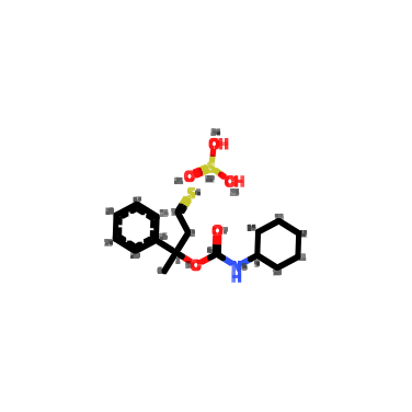 CC(CC=S)(OC(=O)NC1CCCCC1)c1ccccc1.O=S(O)O